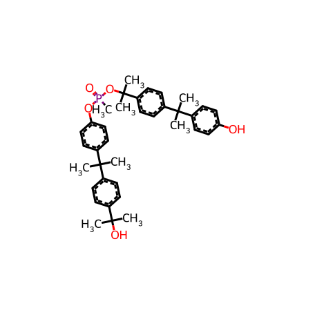 CC(C)(O)c1ccc(C(C)(C)c2ccc(OP(C)(=O)OC(C)(C)c3ccc(C(C)(C)c4ccc(O)cc4)cc3)cc2)cc1